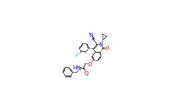 N#Cc1c(-c2cccc(F)c2)c2cc(OCC(=O)NCc3ccccc3)ccc2c(=O)n1C1CC1